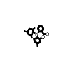 Cc1cc(C)c(N2c3ccc(C)cc3OC(=O)c3ccccc32)c(C)c1